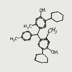 Cc1ccc(C(c2cc(C3CCCCC3)c(O)cc2C)c2cc(C3CCCCC3)c(O)cc2C)cc1